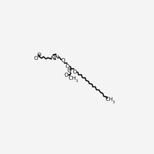 CCCCCCCCCCCCCCCCCCOCC(COCCOCCN1C=C[N+](=CCCCCC(=O)[O-])C1)OCC(C)=O